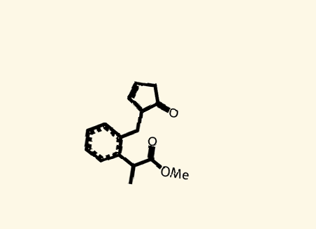 COC(=O)C(C)c1ccccc1CC1C=CCC1=O